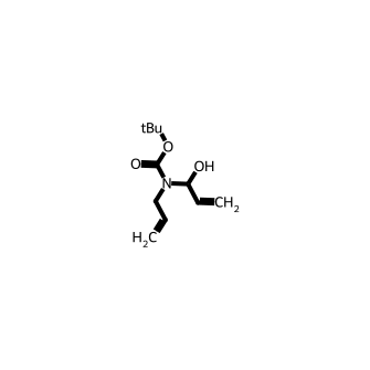 C=CCN(C(=O)OC(C)(C)C)C(O)C=C